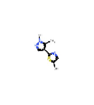 Cc1cnc(-c2cnn(C)c2C)s1